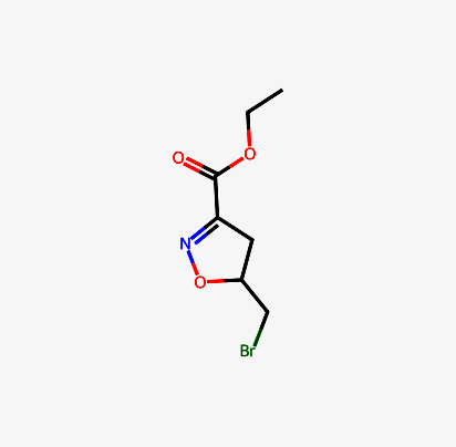 CCOC(=O)C1=NOC(CBr)C1